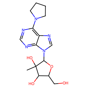 CC1(O)C(O)C(CO)OC1n1cnc2c(N3CCCC3)ncnc21